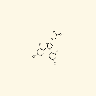 O=C(O)COc1nc(-c2ccc(Cl)cc2F)n(-c2ccc(Cl)cc2F)n1